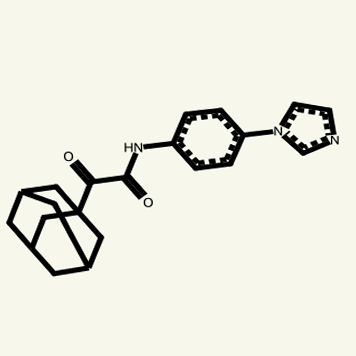 O=C(Nc1ccc(-n2ccnc2)cc1)C(=O)C12CC3CC(CC(C3)C1)C2